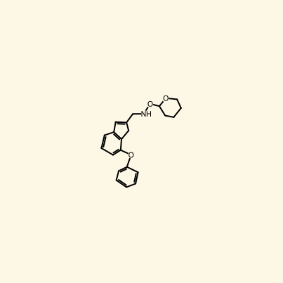 C1=C(CNOC2CCCCO2)Cc2c1cccc2Oc1ccccc1